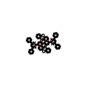 c1ccc(-c2cc(-c3ccccc3)nc(-c3ccc(-c4ccc(-c5nc(-c6ccccc6)cc(-c6ccccc6)n5)cc4N4c5ccccc5Oc5ccccc54)c(N4c5ccccc5Oc5ccccc54)c3)n2)cc1